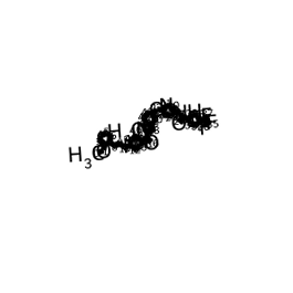 COc1ccccc1/C=C/CN1CCN(C(=O)c2cc3cc(Oc4ccc(NC(=O)c5ccc(C(F)(F)F)cc5)cn4)ccc3n2C)CC1